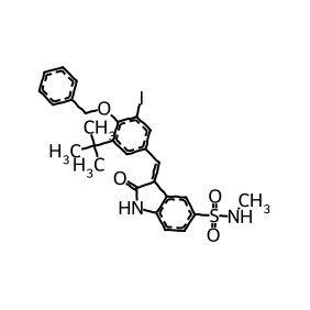 CNS(=O)(=O)c1ccc2c(c1)C(=Cc1cc(I)c(OCc3ccccc3)c(C(C)(C)C)c1)C(=O)N2